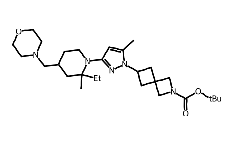 CCC1(C)CC(CN2CCOCC2)CCN1c1cc(C)n(C2CC3(C2)CN(C(=O)OC(C)(C)C)C3)n1